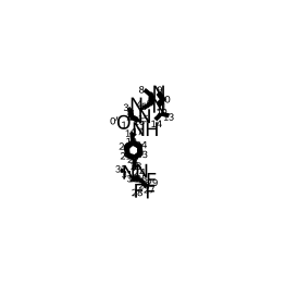 COc1cnc(-c2c(C)ncn2C(C)C)nc1NCc1ccc(-c2nc(C(F)(F)F)cn2C)cc1